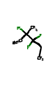 COC(F)(C(F)(F)F)C(F)(F)CC(F)(F)F